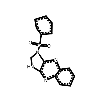 O=S(=O)(c1ccccc1)N1CNc2nc3ccccc3nc21